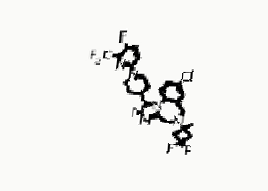 CC1(N2Cc3cc(Cl)ccc3-n3c(nnc3C3CCN(c4ccc(F)c(C(F)(F)F)n4)CC3)C2)CC(F)(F)C1